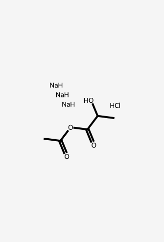 CC(=O)OC(=O)C(C)O.Cl.[NaH].[NaH].[NaH]